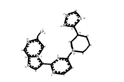 FC(F)(F)c1cn2c(-c3nccc(N4CCCC(c5nncs5)C4)n3)cnc2cn1